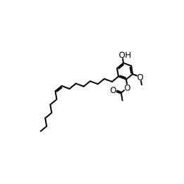 CCCCCC/C=C\CCCCCCCc1cc(O)cc(OC)c1OC(C)=O